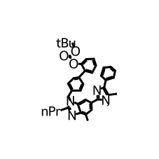 CCCc1nc2c(C)cc(-c3nc(-c4ccccc4)c(C)n3C)cc2n1Cc1ccc(-c2ccccc2OC(=O)OC(C)(C)C)cc1